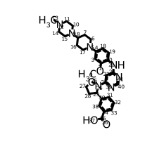 COc1cc(N2CCC(N3CCN(C)CC3)CC2)ccc1Nc1cc(N2OCC[C@@H]2c2cccc(C(=O)O)c2)ncn1